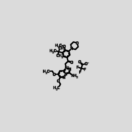 CCOc1cc2n(nc1OCC)c(N)n[n+]2CC(=O)c1cc(N2CCOCC2)c(OC)c(C(C)(C)C)c1.O=C([O-])C(F)(F)F